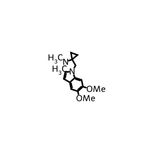 COc1cc2ccn(CC3(N(C)C)CC3)c2cc1OC